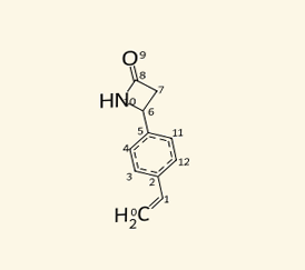 C=Cc1ccc(C2CC(=O)N2)cc1